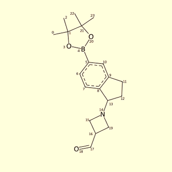 CC1(C)OB(c2ccc3c(c2)CCC3N2CC(C=O)C2)OC1(C)C